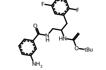 C=C(NC(CNC(=O)c1cccc(N)c1)Cc1cc(F)ccc1F)OC(C)(C)C